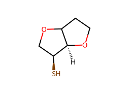 S[C@H]1COC2CCO[C@H]21